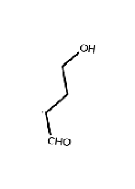 O=C[CH]CCO